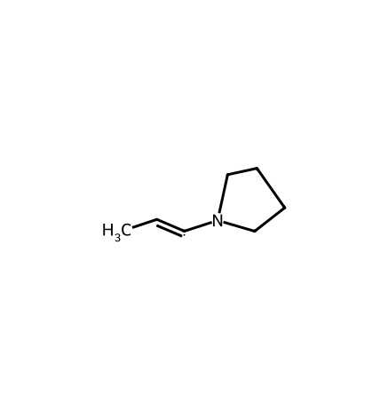 C/C=[C]/N1CCCC1